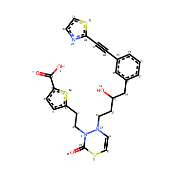 O=C(O)c1ccc(CCN2C(=O)SC=CN2CCC(O)Cc2cccc(C#Cc3nccs3)c2)s1